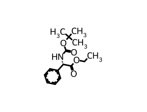 CCOC(=O)[C@@H](NC(=O)OC(C)(C)C)c1ccccc1